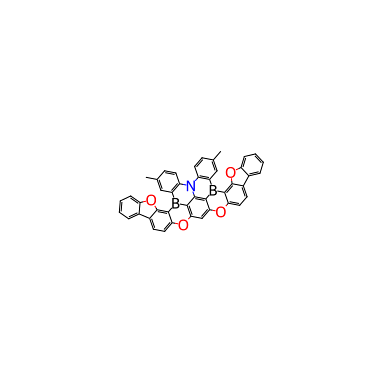 Cc1ccc2c(c1)B1c3c(cc4c5c3N2c2ccc(C)cc2B5c2c(ccc3c2oc2ccccc23)O4)Oc2ccc3c(oc4ccccc43)c21